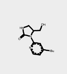 CC(C)(C)c1ccnc(N2C(=O)NCC2CO)c1